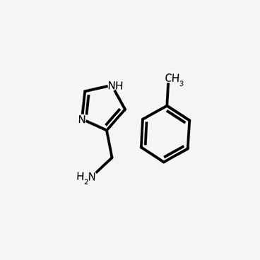 Cc1ccccc1.NCc1c[nH]cn1